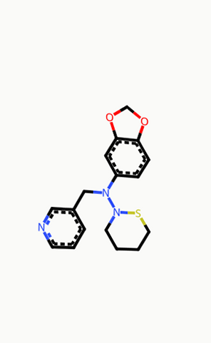 c1cncc(CN(c2ccc3c(c2)OCO3)N2CCCCS2)c1